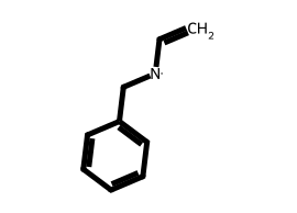 C=C[N]Cc1ccccc1